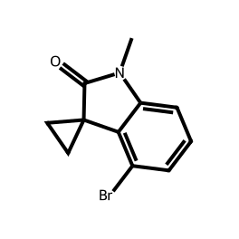 CN1C(=O)C2(CC2)c2c(Br)cccc21